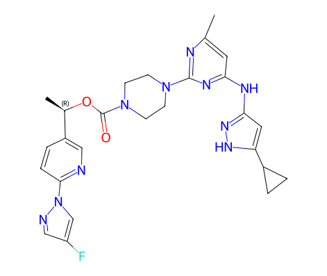 Cc1cc(Nc2cc(C3CC3)[nH]n2)nc(N2CCN(C(=O)O[C@H](C)c3ccc(-n4cc(F)cn4)nc3)CC2)n1